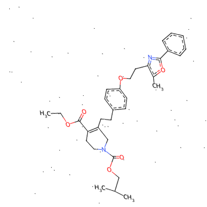 CCOC(=O)C1=C(CCc2ccc(OCCc3nc(-c4ccccc4)oc3C)cc2)CN(C(=O)OCC(C)C)CC1